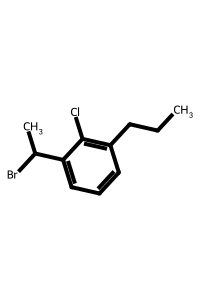 CCCc1cccc(C(C)Br)c1Cl